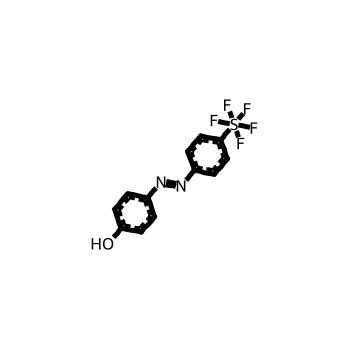 Oc1ccc(N=Nc2ccc(S(F)(F)(F)(F)F)cc2)cc1